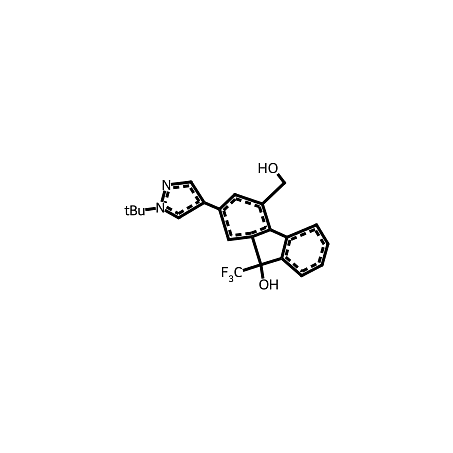 CC(C)(C)n1cc(-c2cc(CO)c3c(c2)C(O)(C(F)(F)F)c2ccccc2-3)cn1